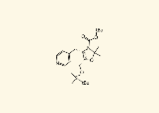 CC(C)(C)OC(=O)N1[C@@H](Cc2ccncc2)[C@@H](CO[Si](C)(C)C(C)(C)C)OC1(C)C